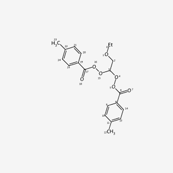 [CH2]COC[C](OOC(=O)c1ccc(C)cc1)OOC(=O)c1ccc(C)cc1